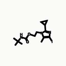 Cc1c(I)nc(C2CC2)n1CCOC(=O)NC(C)(C)C